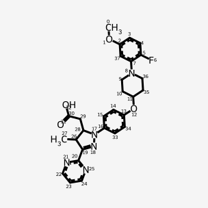 COc1ccc(F)c(N2CCC(Oc3ccc(N4N=C(c5ncccn5)C(C)C4CC(=O)O)cc3)CC2)c1